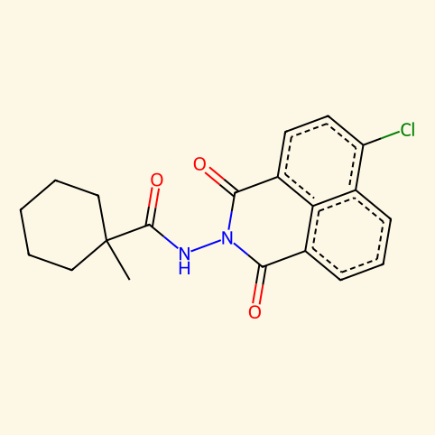 CC1(C(=O)NN2C(=O)c3cccc4c(Cl)ccc(c34)C2=O)CCCCC1